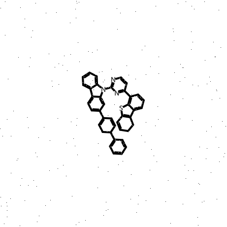 C1=Cc2sc3c(-c4ccnc(-n5c6ccccc6c6ccc(C7=CCC(c8ccccc8)C=C7)cc65)n4)cccc3c2CC1